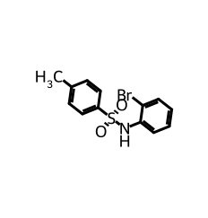 Cc1ccc(S(=O)(=O)Nc2ccccc2Br)cc1